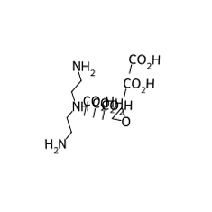 C1CO1.CC(=O)O.CC(=O)O.CC(=O)O.CC(=O)O.CC(=O)O.NCCNCCN